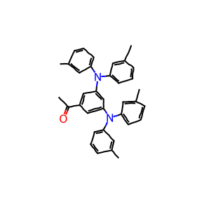 CC(=O)c1cc(N(c2cccc(C)c2)c2cccc(C)c2)cc(N(c2cccc(C)c2)c2cccc(C)c2)c1